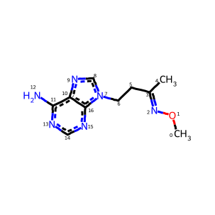 CON=C(C)CCn1cnc2c(N)ncnc21